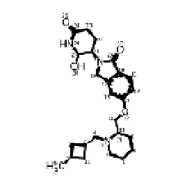 C[C@H]1C[C@@H](CN2CCCC[C@@H]2COc2ccc3c(c2)CN(C2CCC(=O)NC2O)C3=O)C1